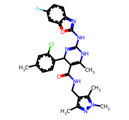 CC1=C(C(=O)NCc2c(C)nn(C)c2C)C(c2ccc(C)cc2Cl)N=C(Nc2nc3ccc(F)cc3o2)N1